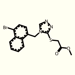 COC(=O)CSc1nncn1Cc1ccc(Br)c2ccccc12